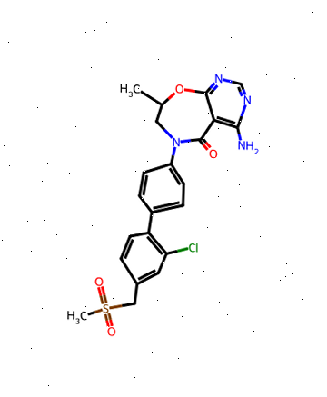 CC1CN(c2ccc(-c3ccc(CS(C)(=O)=O)cc3Cl)cc2)C(=O)c2c(N)ncnc2O1